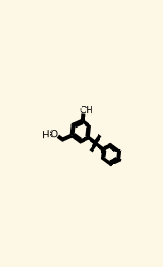 CC(C)(c1ccccc1)c1cc(O)cc(CO)c1